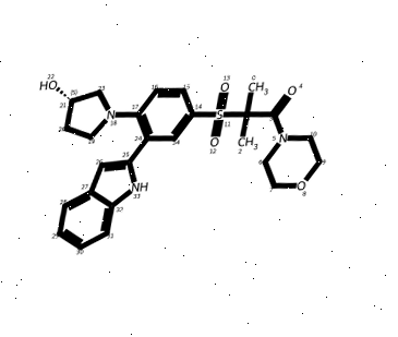 CC(C)(C(=O)N1CCOCC1)S(=O)(=O)c1ccc(N2CC[C@H](O)C2)c(-c2cc3ccccc3[nH]2)c1